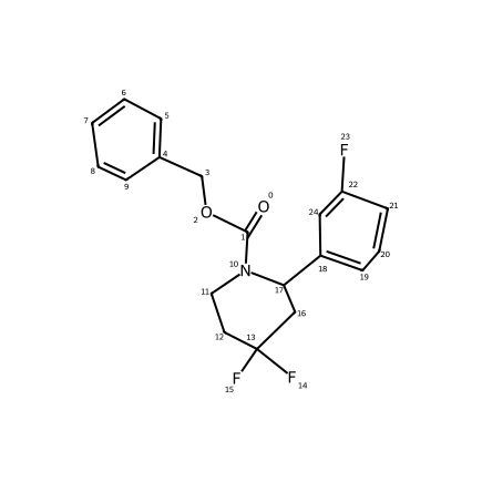 O=C(OCc1ccccc1)N1CCC(F)(F)CC1c1cccc(F)c1